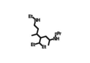 CCCNC(C)CC(C(C)CCNCC)C(CC)CC